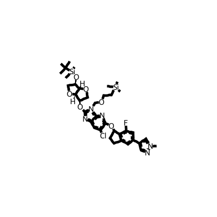 Cn1cc(-c2cc(F)c3c(c2)CCC3Oc2nc3c(cc2Cl)nc(O[C@@H]2CO[C@H]4[C@@H]2OC[C@H]4O[Si](C)(C)C(C)(C)C)n3COCC[Si](C)(C)C)cn1